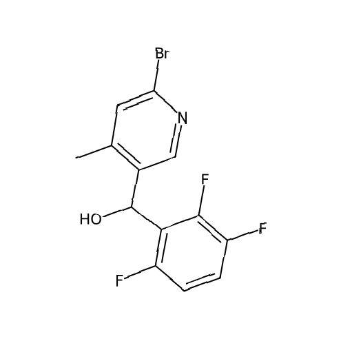 Cc1cc(Br)ncc1C(O)c1c(F)ccc(F)c1F